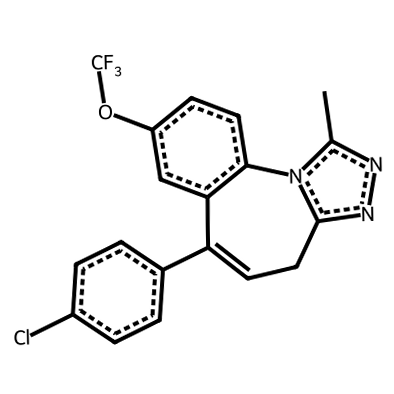 Cc1nnc2n1-c1ccc(OC(F)(F)F)cc1C(c1ccc(Cl)cc1)=CC2